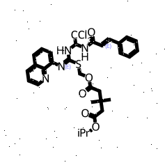 CC(C)OC(=O)CC(C)(C)CC(=O)OCS/C(=N/c1cccc2cccnc12)NC(NC(=O)/C=C/c1ccccc1)C(Cl)(Cl)Cl